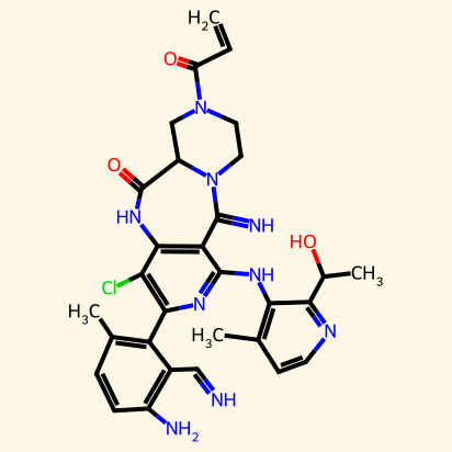 C=CC(=O)N1CCN2C(=N)c3c(Nc4c(C)ccnc4C(C)O)nc(-c4c(C)ccc(N)c4C=N)c(Cl)c3NC(=O)C2C1